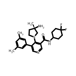 Cc1cc(C)cc(-c2cncc(C(=O)NC3CCC(F)(F)CC3)c2N2CC[C@](C)(N)C2)c1